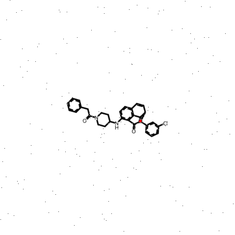 O=C1c2c3ccc(NC4CCN(C(=O)Cc5ccccc5)CC4)c2C(=O)N(c2cccc(Cl)c2)C1C=C3